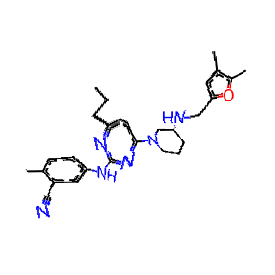 CCCc1cc(N2CCC[C@@H](NCc3cc(C)c(C)o3)C2)nc(Nc2ccc(C)c(C#N)c2)n1